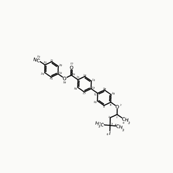 CC(CC(C)(C)I)Oc1ccc(-c2ccc(C(=O)Oc3ccc(C#N)cc3)cc2)cc1